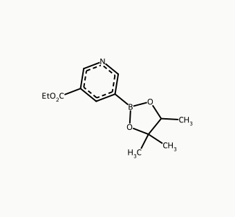 CCOC(=O)c1cncc(B2OC(C)C(C)(C)O2)c1